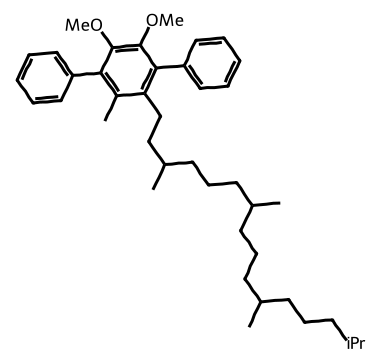 COc1c(OC)c(-c2ccccc2)c(CCC(C)CCCC(C)CCCC(C)CCCC(C)C)c(C)c1-c1ccccc1